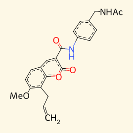 C=CCc1c(OC)ccc2cc(C(=O)Nc3ccc(CNC(C)=O)cc3)c(=O)oc12